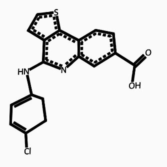 O=C(O)c1ccc2c(c1)nc(NC1=CC=C(Cl)CC1)c1ccsc12